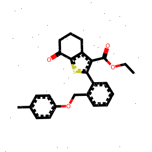 CCOC(=O)c1c(-c2ccccc2COc2ccc(C)cc2)sc2c1CCCC2=O